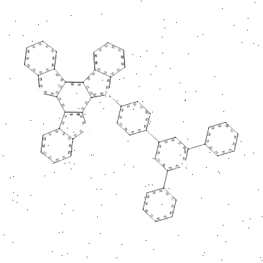 c1ccc(-c2cc(-c3ccc(-n4c5ccccc5c5c6c7ccccc7sc6c6c7ccccc7sc6c54)cc3)cc(-c3ccccc3)n2)cc1